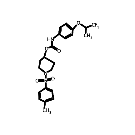 Cc1ccc(S(=O)(=O)N2CCC(OC(=O)Nc3ccc(OC(C)C(F)(F)F)cc3)CC2)cc1